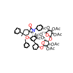 CC(=O)OC[C@H]1O[C@@H](Oc2cccc(-c3ccc([C@H]4N(c5ccccc5)C(=O)C45CCC(C)(c4ccccc4)CC5)c(OCc4ccccc4)c3)c2)[C@H](OC(C)=O)[C@@H](OC(C)=O)C1O[C@@H]1O[C@H](COC(C)=O)[C@@H](OC(C)=O)[C@H](OC(C)=O)[C@H]1OC(C)=O